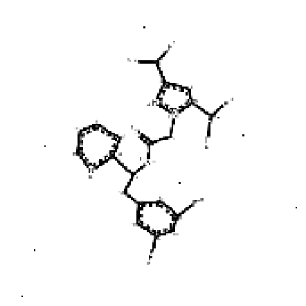 O=C(Cn1nc(C(F)F)cc1C(F)F)NC(Cc1cc(F)cc(F)c1)c1ccccn1